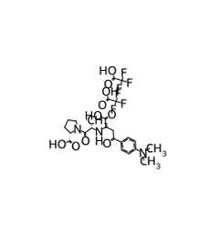 C[C@H](NC(CC(=O)c1ccc(N(C)C)cc1)C(=O)O)C(=O)N1CCC[C@H]1C(=O)O.O=C(O)C(F)(F)F.O=C(O)C(F)(F)F